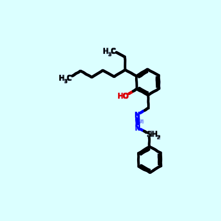 CCCCCC(CC)c1cccc(C/N=N\[SiH2]c2ccccc2)c1O